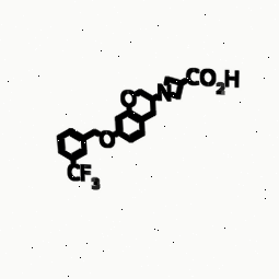 O=C(O)C1CN(C2COc3cc(OCc4cccc(C(F)(F)F)c4)ccc3C2)C1